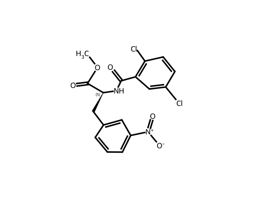 COC(=O)[C@H](Cc1cccc([N+](=O)[O-])c1)NC(=O)c1cc(Cl)ccc1Cl